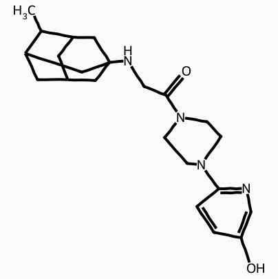 CC1C2CC3CC1CC(NCC(=O)N1CCN(c4ccc(O)cn4)CC1)(C3)C2